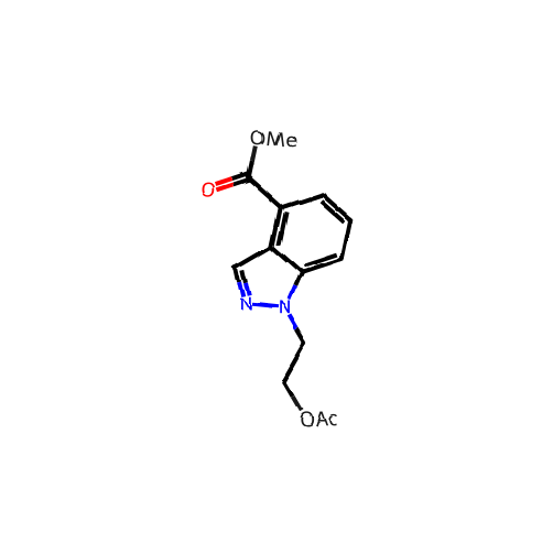 COC(=O)c1cccc2c1cnn2CCOC(C)=O